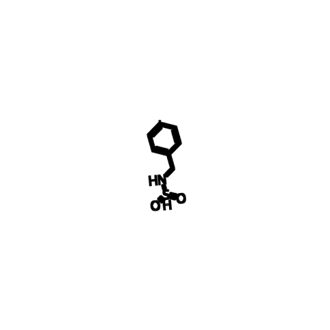 O=[SH](=O)NCc1cc[c]cc1